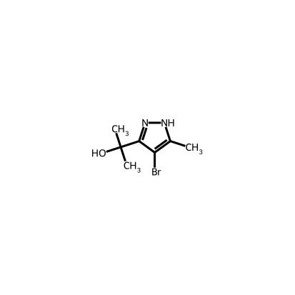 Cc1[nH]nc(C(C)(C)O)c1Br